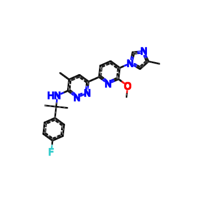 COc1nc(-c2cc(C)c(NC(C)(C)c3ccc(F)cc3)nn2)ccc1-n1cnc(C)c1